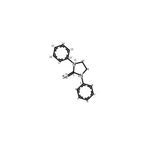 [Se]=C1N(c2ccccc2)CCN1c1ccccc1